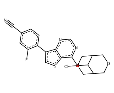 N#Cc1ccc(-c2csc3c(OC4C5COCC4CN(Cl)C5)ncnc23)c(F)c1